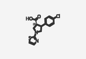 O=C(O)[C@H]1CN(c2nccs2)CC1c1ccc(Cl)cc1